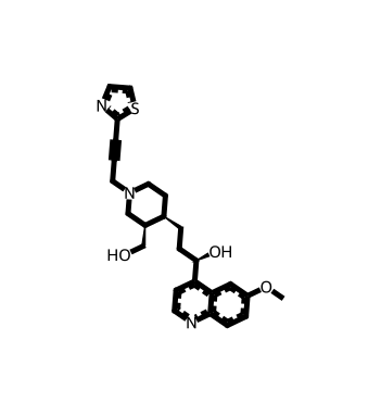 COc1ccc2nccc([C@H](O)CC[C@@H]3CCN(CC#Cc4nccs4)C[C@@H]3CO)c2c1